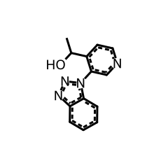 CC(O)c1ccncc1-n1nnc2ccccc21